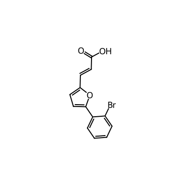 O=C(O)C=Cc1ccc(-c2ccccc2Br)o1